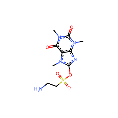 Cn1c(=O)c2c(nc(OS(=O)(=O)CCN)n2C)n(C)c1=O